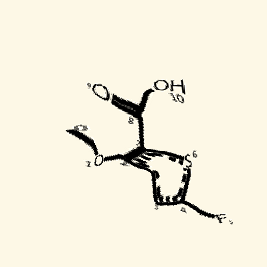 COc1cc(F)sc1C(=O)O